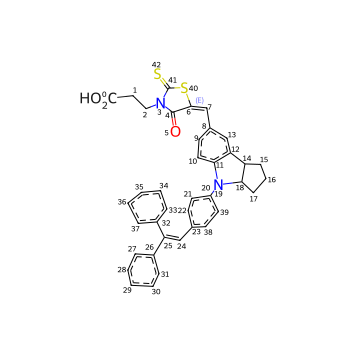 O=C(O)CCN1C(=O)/C(=C\c2ccc3c(c2)C2CCCC2N3c2ccc(C=C(c3ccccc3)c3ccccc3)cc2)SC1=S